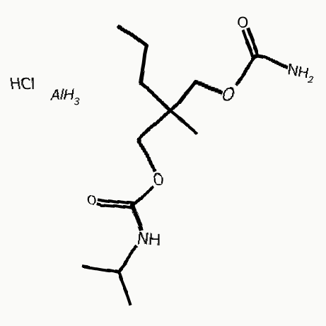 CCCC(C)(COC(N)=O)COC(=O)NC(C)C.Cl.[AlH3]